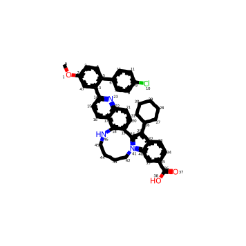 COc1ccc(-c2ccc(Cl)cc2)c(-c2ccc3c4c(ccc3n2)-c2c(C3CCCCC3)c3ccc(C(=O)O)cc3n2CCCCN4)c1